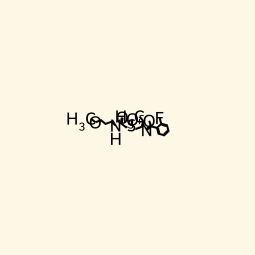 COCCCNC(=O)C[S+]([O-])Cc1nc(-c2ccccc2F)oc1C